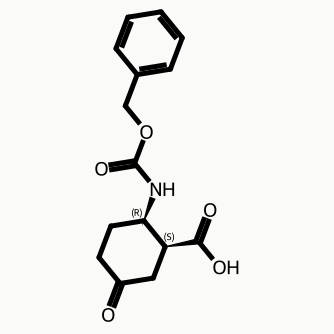 O=C1CC[C@@H](NC(=O)OCc2ccccc2)[C@@H](C(=O)O)C1